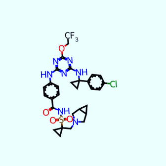 O=C(NS(=O)(=O)C1(CN2CC3CC3C2)CC1)c1ccc(Nc2nc(NC3(c4ccc(Cl)cc4)CC3)nc(OCC(F)(F)F)n2)cc1